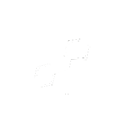 COc1ccccc1Cc1cncc(C)n1